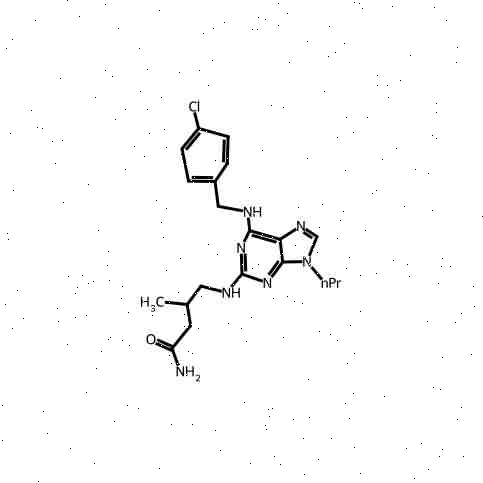 CCCn1cnc2c(NCc3ccc(Cl)cc3)nc(NCC(C)CC(N)=O)nc21